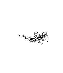 C=CCON=CCCC(=O)C1=C(O)CC(c2c(C)c(C)c3c(c2C)CC(C)(C)O3)CC1=O